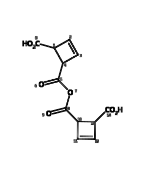 O=C(O)C1C=CC1C(=O)OC(=O)C1C=CC1C(=O)O